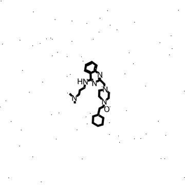 CN(C)CCCNc1nc(CN2CCN(C(=O)CC3CCCCC3)CC2)nc2ccccc12